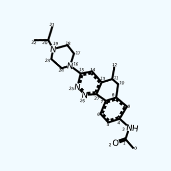 CC(=O)Nc1ccc2c(c1)CC(C)c1cc(N3CCN(C(C)C)CC3)nnc1-2